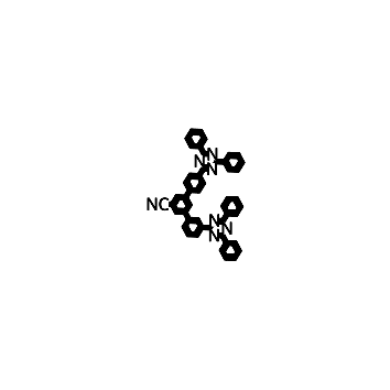 N#Cc1cc(-c2ccc(-c3nc(-c4ccccc4)nc(-c4ccccc4)n3)cc2)cc(-c2cccc(-c3nc(-c4ccccc4)nc(-c4ccccc4)n3)c2)c1